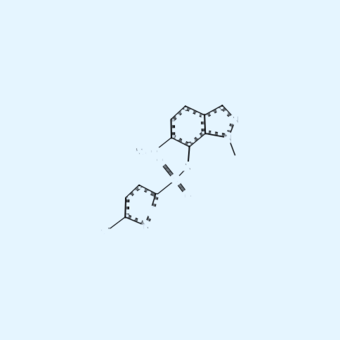 COc1ccc2cnn(C)c2c1NS(=O)(=O)c1ccc(Cl)nc1